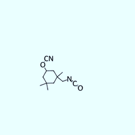 CC1(C)CC(OC#N)CC(C)(CN=C=O)C1